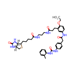 Cc1ccccc1NC(=O)Nc1ccc(CC(=O)Nc2ccc(OCC(=O)O)c(CCC(=O)NCCCNC(=O)CCCCC3SC[C@@H]4NC(=O)N[C@H]34)c2)cc1